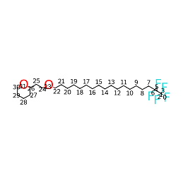 FC(F)(F)C(F)(F)CCCCCCCCCCCCCCCCOCCC1CCCCO1